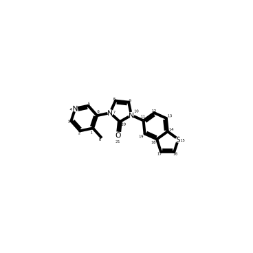 Cc1ccncc1-n1ccn(-c2ccc3sccc3c2)c1=O